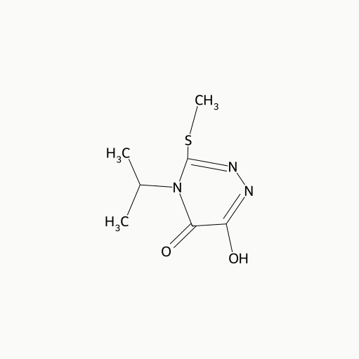 CSc1nnc(O)c(=O)n1C(C)C